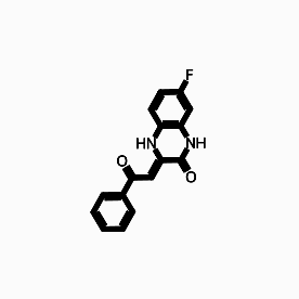 O=C1Nc2cc(F)ccc2N/C1=C\C(=O)c1ccccc1